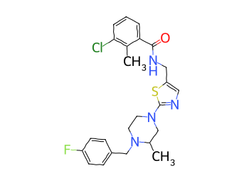 Cc1c(Cl)cccc1C(=O)NCc1cnc(N2CCN(Cc3ccc(F)cc3)C(C)C2)s1